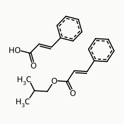 CC(C)COC(=O)C=Cc1ccccc1.O=C(O)/C=C/c1ccccc1